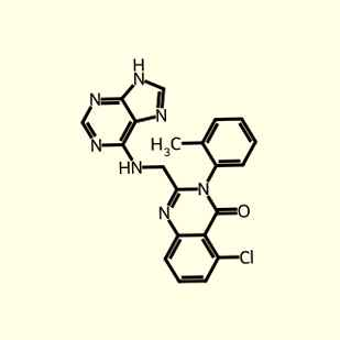 Cc1ccccc1-n1c(CNc2ncnc3[nH]cnc23)nc2cccc(Cl)c2c1=O